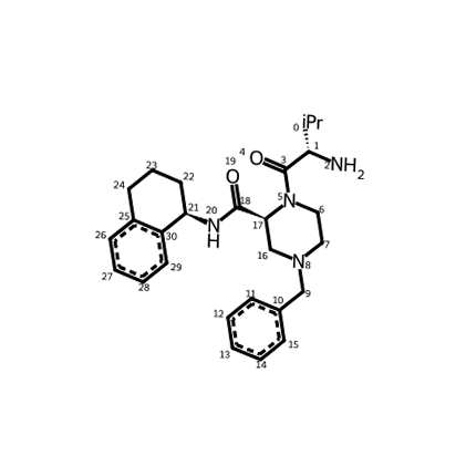 CC(C)[C@H](N)C(=O)N1CCN(Cc2ccccc2)C[C@H]1C(=O)N[C@@H]1CCCc2ccccc21